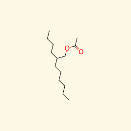 CCCCCCC(CCCC)COC(C)=O